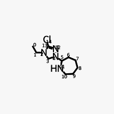 CCN1CN(C2CCCCCN2)N=C1Cl